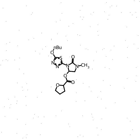 CCCCOc1nnc(N2C(=O)N(C)CC2OC(=O)C2CCCO2)s1